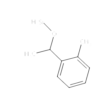 Cc1ccccc1C(C)O[SiH3]